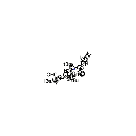 C=C(C)[C@H](C)C[C@H]1CC[C@@H]2OC(CCC(/C=C/[C@H](O[Si](C)(C)C(C)(C)C)[C@@H]3O[C@H]4CCC(CC(=O)C[C@@H]5[C@@H](C)[C@@H](C[C@H](C)CC)O[C@H]5CC=O)O[C@@H]4[C@H](O[Si](C)(C)C(C)(C)C)[C@@H]3O[Si](C)(C)C(C)(C)C)OC(=O)c3ccccc3)C[C@]2(CI)O1